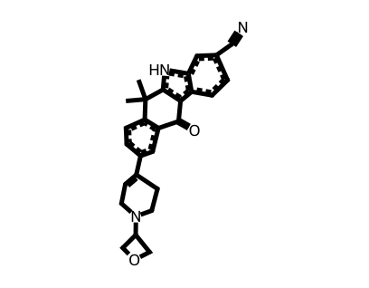 CC1(C)c2ccc(C3=CCN(C4COC4)CC3)cc2C(=O)c2c1[nH]c1cc(C#N)ccc21